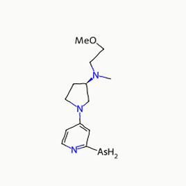 COCCN(C)[C@@H]1CCN(c2ccnc([AsH2])c2)C1